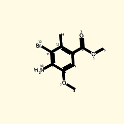 COC(=O)c1cc(OC)c(N)c(Br)c1C